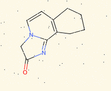 O=C1CN2C=CC3=C(CCCC3)C2=N1